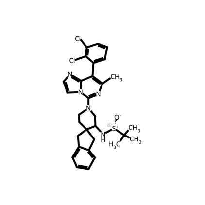 Cc1nc(N2CCC3(Cc4ccccc4C3)C(N[S@+]([O-])C(C)(C)C)C2)n2ccnc2c1-c1cccc(Cl)c1Cl